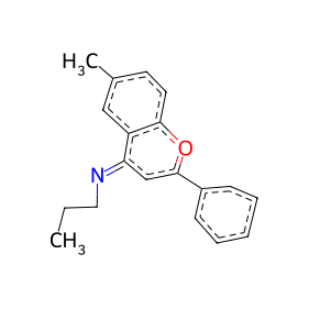 CCCN=c1cc(-c2ccccc2)oc2ccc(C)cc12